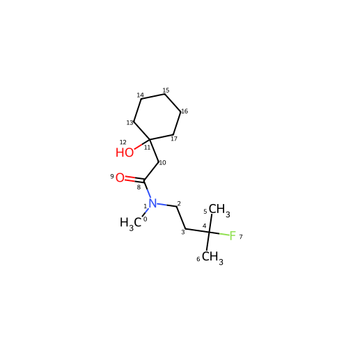 CN(CCC(C)(C)F)C(=O)CC1(O)CCCCC1